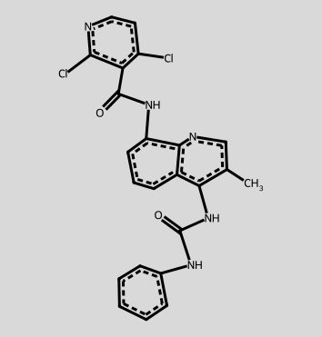 Cc1cnc2c(NC(=O)c3c(Cl)ccnc3Cl)cccc2c1NC(=O)Nc1ccccc1